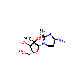 C=C1N=C(N)C=CN1[C@@H]1O[C@H](CO)C(O)[C@]1(C)O